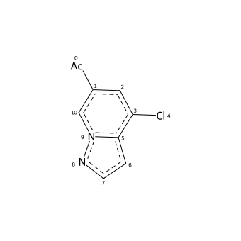 CC(=O)c1cc(Cl)c2ccnn2c1